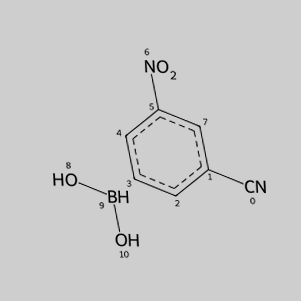 N#Cc1cccc([N+](=O)[O-])c1.OBO